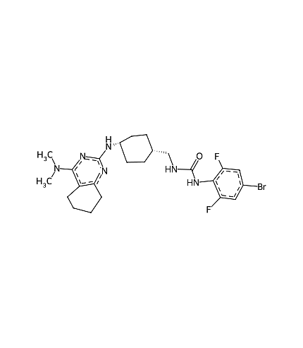 CN(C)c1nc(N[C@H]2CC[C@@H](CNC(=O)Nc3c(F)cc(Br)cc3F)CC2)nc2c1CCCC2